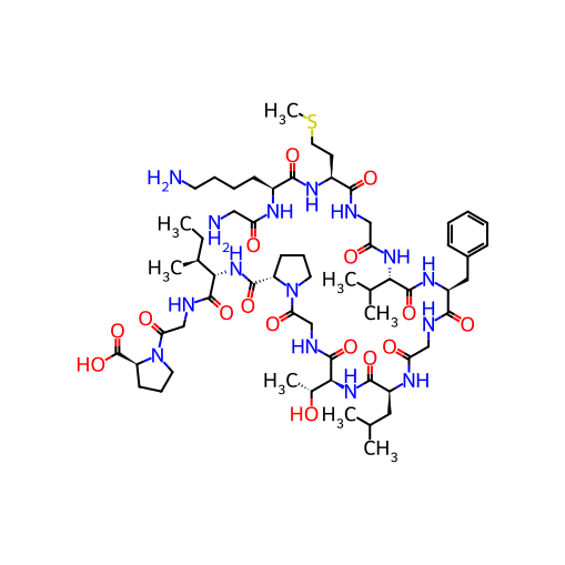 CC[C@H](C)[C@H](NC(=O)[C@@H]1CCCN1C(=O)CNC(=O)[C@@H](NC(=O)[C@H](CC(C)C)NC(=O)CNC(=O)[C@H](Cc1ccccc1)NC(=O)[C@@H](NC(=O)CNC(=O)[C@H](CCSC)NC(=O)[C@H](CCCCN)NC(=O)CN)C(C)C)[C@@H](C)O)C(=O)NCC(=O)N1CCC[C@H]1C(=O)O